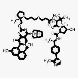 C#Cc1cccc2cc(O)cc(-c3ncc4c(N5CC6CCC(C5)N6)nc(OC[C@]5(C)CCCN5CCCOCCC(=O)N[C@H](C(=O)N5C[C@H](O)C[C@H]5C(=O)N[C@@H](C)c5ccc(-c6scnc6C)cc5)C(C)(C)C)nc4c3F)c12